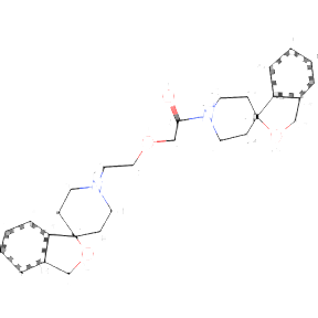 O=C(COCCN1CCC2(CC1)OCc1ccccc12)N1CCC2(CC1)OCc1ccccc12